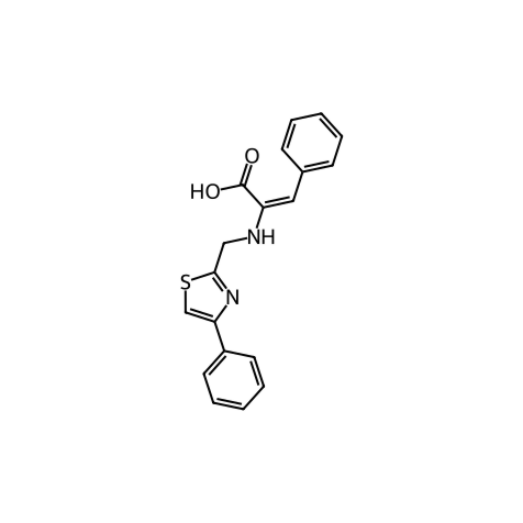 O=C(O)/C(=C\c1ccccc1)NCc1nc(-c2ccccc2)cs1